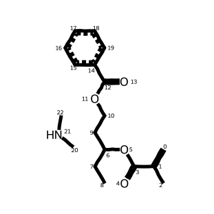 C=C(C)C(=O)OC(CC)CCOC(=O)c1ccccc1.CNC